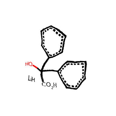 O=C(O)C(O)(c1ccccc1)c1ccccc1.[LiH]